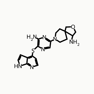 Nc1nc(N2CCC3(CC2)COCC3N)cnc1Sc1ccnc2[nH]ccc12